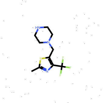 Cc1nc(C(F)(F)F)c(CN2CCNCC2)s1